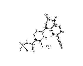 Cn1c(=O)cc(N2CCN(C(=O)OC(C)(C)C)C(CO)C2)c2nc(C#N)ccc21